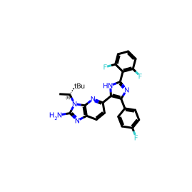 C[C@@H](n1c(N)nc2ccc(-c3[nH]c(-c4c(F)cccc4F)nc3-c3ccc(F)cc3)nc21)C(C)(C)C